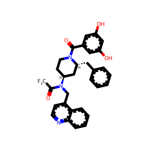 O=C(c1cc(O)cc(O)c1)N1CC[C@H](N(Cc2ccnc3ccccc23)C(=O)C(F)(F)F)C[C@H]1Cc1ccccc1